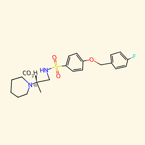 C[C@](CNS(=O)(=O)c1ccc(OCc2ccc(F)cc2)cc1)(C(=O)O)N1CCCCC1